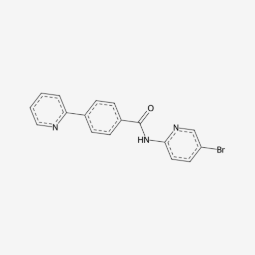 O=C(Nc1ccc(Br)cn1)c1ccc(-c2ccccn2)cc1